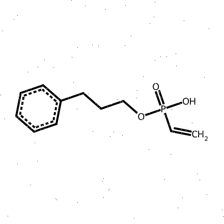 C=CP(=O)(O)OCCCc1ccccc1